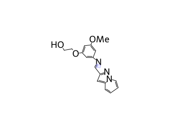 COc1cc(/N=C/c2cc3ccccn3n2)cc(OCCO)c1